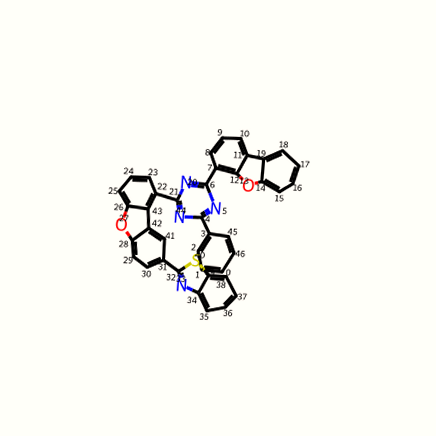 c1ccc(-c2nc(-c3cccc4c3oc3ccccc34)nc(-c3cccc4oc5ccc(-c6nc7ccccc7s6)cc5c34)n2)cc1